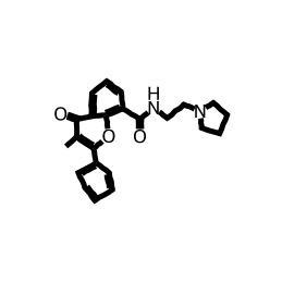 Cc1c(-c2ccccc2)oc2c(C(=O)NCCN3CCCC3)cccc2c1=O